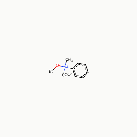 CCO[N+](C)(C(=O)[O-])c1ccccc1